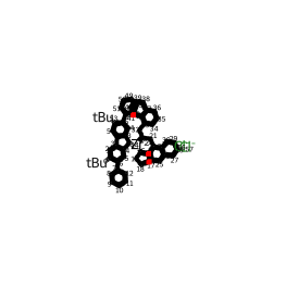 CC(C)(C)c1cc2c(cc1-c1ccccc1)[CH]([Zr+2]([C]1=CC=CC1)=[C](Cc1cccc3ccccc13)Cc1cccc3ccccc13)c1cc(-c3ccccc3)c(C(C)(C)C)cc1-2.[Cl-].[Cl-]